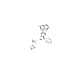 CC1(O)CC2CC1CN2CC1(COc2nc(N3CC4CCC(C3)N4)c3cc(F)c(-c4cc(O)cc5ccc(F)c(F)c45)c(F)c3n2)CC1